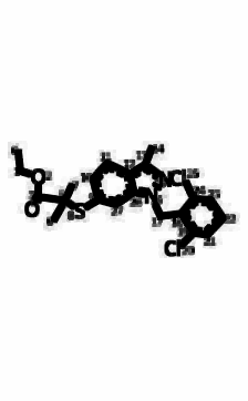 CCOC(=O)C(C)(C)Sc1ccc2c(C)nn(Cc3c(Cl)cccc3Cl)c2c1